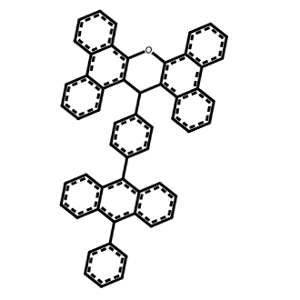 c1ccc(-c2c3ccccc3c(-c3ccc(C4c5c(c6ccccc6c6ccccc56)Oc5c4c4ccccc4c4ccccc54)cc3)c3ccccc23)cc1